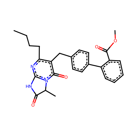 CCCCc1nc2n(c(=O)c1Cc1ccc(-c3ccccc3C(=O)OC)cc1)C(C)C(=O)N2